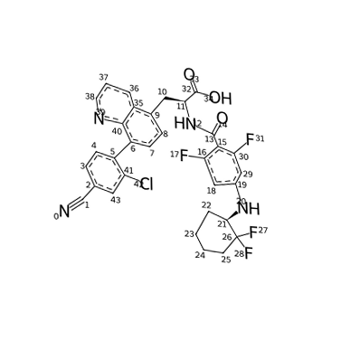 N#Cc1ccc(-c2ccc(C[C@H](NC(=O)c3c(F)cc(N[C@@H]4CCCCC4(F)F)cc3F)C(=O)O)c3cccnc23)c(Cl)c1